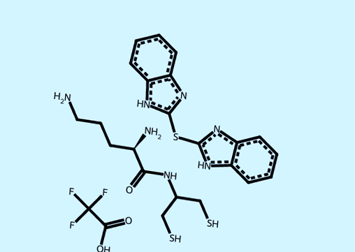 NCCC[C@@H](N)C(=O)NC(CS)CS.O=C(O)C(F)(F)F.c1ccc2[nH]c(Sc3nc4ccccc4[nH]3)nc2c1